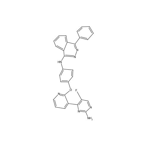 Nc1ncc(F)c(-c2cccnc2Oc2ccc(Nc3nnc(-c4ccccc4)c4ccccc34)cc2)n1